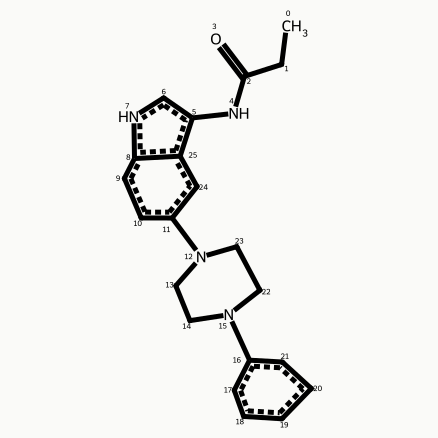 CCC(=O)Nc1c[nH]c2ccc(N3CCN(c4ccccc4)CC3)cc12